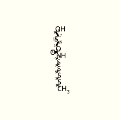 CCSCSCSCSCNC(=O)OCCSCCO